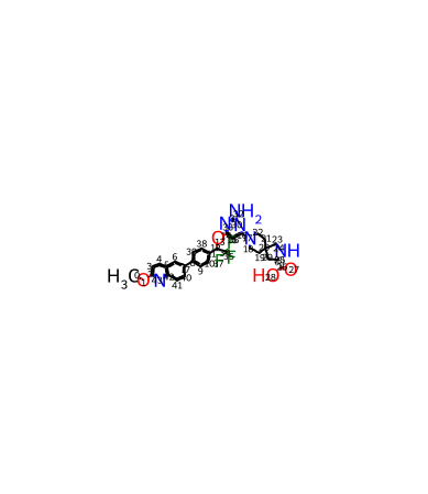 COc1ccc2cc(-c3ccc(C(Oc4cc(N5CCC6(CC5)CN[C@H](C(=O)O)C6)nc(N)n4)C(F)(F)F)cc3)ccc2n1